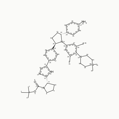 CC(C)(C)OC(=O)N1CCC[C@H]1c1ncc(-c2ccc([C@H]3CC[C@H](c4ccc(N)cc4)N3c3cc(F)c(N4CC[Si](C)(C)CC4)c(F)c3)cc2)[nH]1